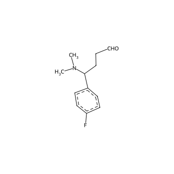 CN(C)C(CCC=O)c1ccc(F)cc1